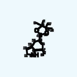 CC1(C)OB(C2=CC(F)=C3NCC=C3C2)OC1(C)C